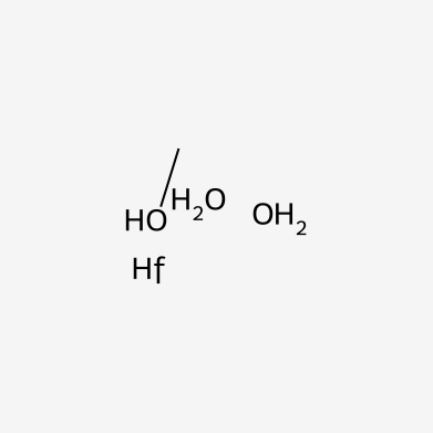 CO.O.O.[Hf]